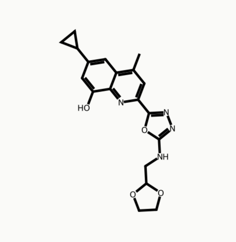 Cc1cc(-c2nnc(NCC3OCCO3)o2)nc2c(O)cc(C3CC3)cc12